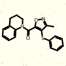 Cc1noc(C(=O)N2CCCc3ccccc32)c1Sc1ccccc1